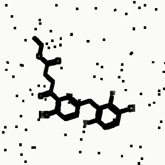 CCOC(=O)CCC(=O)c1nc(Cc2c(F)ccc(Cl)c2F)ccc1O